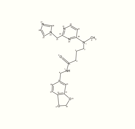 CN(CCCC(=O)NCc1ccc2c(c1)OCO2)c1ccnc(Cn2ccnc2)n1